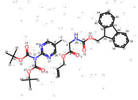 C=CCOC(=O)[C@H](Cc1cnc(N(C(=O)OC(C)(C)C)C(=O)OC(C)(C)C)nc1)NC(=O)OCC1c2ccccc2-c2ccccc21